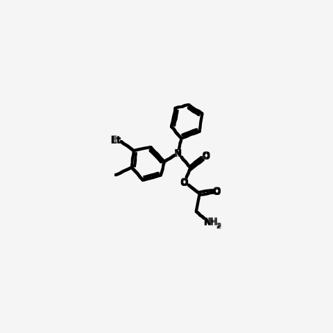 CCc1cc(N(C(=O)OC(=O)CN)c2ccccc2)ccc1C